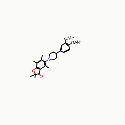 COc1ccc(C2CCN(c3c(C)c(C)c4c(c3C)C(=O)C(C)(C)O4)CC2)cc1OC